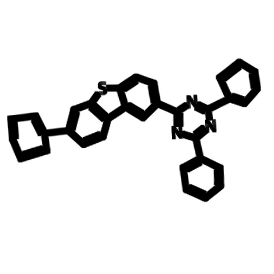 c1ccc(-c2ccc3c(c2)sc2ccc(-c4nc(-c5ccccc5)nc(-c5ccccc5)n4)cc23)cc1